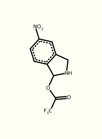 O=C(OC1NCc2cc([N+](=O)[O-])ccc21)C(F)(F)F